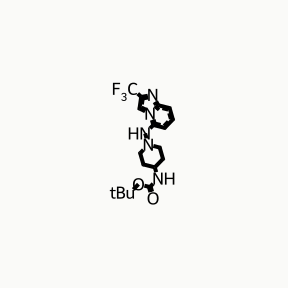 CC(C)(C)OC(=O)NC1CCN(Nc2cccc3nc(C(F)(F)F)cn23)CC1